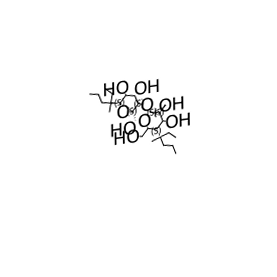 CCCC(C)(CC)[C@@H]1C(CO)O[C@@H](O[C@H]2C(O)C(O)[C@H](C(C)(CC)CCC)O[C@H]2CO)[C@@H](O)C1O